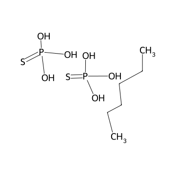 CCCCCC.OP(O)(O)=S.OP(O)(O)=S